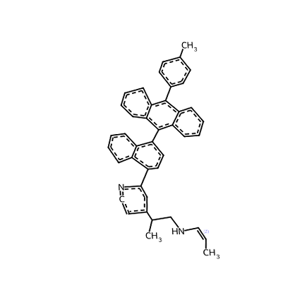 C/C=C\NCC(C)c1ccnc(-c2ccc(-c3c4ccccc4c(-c4ccc(C)cc4)c4ccccc34)c3ccccc23)c1